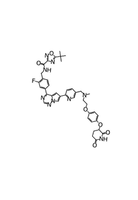 CN(CCOc1ccc(OC2CCC(=O)NC2=O)cc1)Cc1ccc(-c2cc3c(-c4ccc(CNC(=O)c5noc(C(C)(C)C)n5)c(F)c4)ncnn3c2)nc1